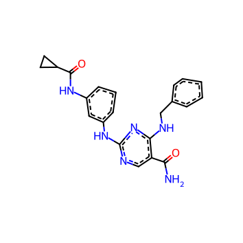 NC(=O)c1cnc(Nc2cccc(NC(=O)C3CC3)c2)nc1NCc1ccccc1